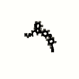 C=CCc1cn(-c2ccc(Oc3ccc(C#N)cc3)cc2)c2cccnc12